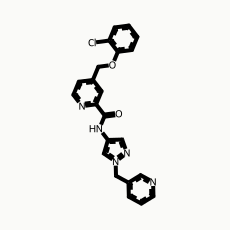 O=C(Nc1cnn(Cc2cccnc2)c1)c1cc(COc2ccccc2Cl)ccn1